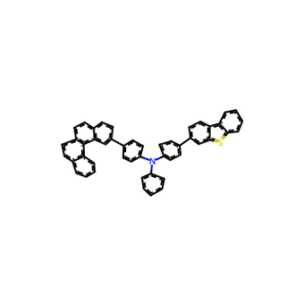 c1ccc(N(c2ccc(-c3ccc4c(c3)sc3ccccc34)cc2)c2ccc(-c3ccc4ccc5ccc6ccccc6c5c4c3)cc2)cc1